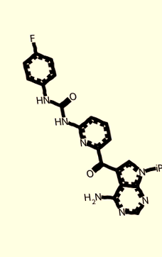 CC(C)n1cc(C(=O)c2cccc(NC(=O)Nc3ccc(F)cc3)n2)c2c(N)ncnc21